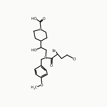 COc1ccc(CN(CC(O)C2CCN(C(=O)O)CC2)C(=O)C(Br)CCCl)cc1